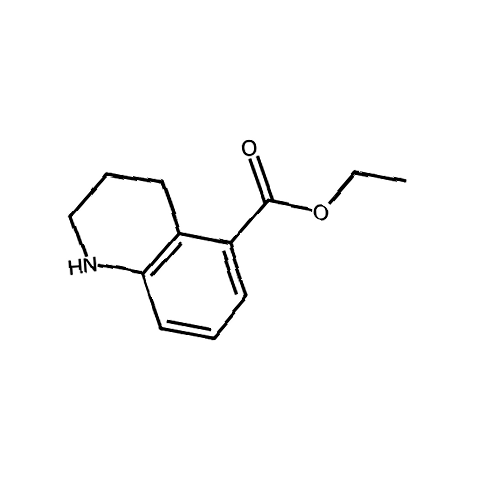 CCOC(=O)c1cccc2c1CCCN2